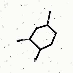 CC1CCC(F)[C@H](C)C1